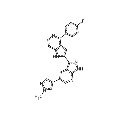 Cn1cc(-c2cnc3[nH]nc(-c4cc5c(-c6ccc(F)cc6)nccc5[nH]4)c3c2)cn1